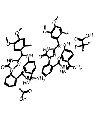 CC(=O)O.COc1cc(F)c(C(Nc2ccc(C(=N)N)cc2)c2nn(-c3ccccc3C(N)=O)c(=O)[nH]2)cc1OC.COc1cc(F)c([C@H](Nc2ccc(C(=N)N)cc2)c2nn(-c3ccccc3C(N)=O)c(=O)[nH]2)cc1OC.O=C(O)C(F)(F)F